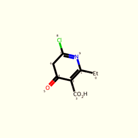 CCC1=C(C(=O)O)C(=O)CC(Cl)=N1